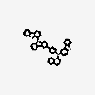 C1=CC(N(c2ccc(-c3ccc4c(c3)c3ccccc3n4-c3cccc4c3oc3ccccc34)cc2)c2cccc3ccccc23)Cc2c1oc1ccccc21